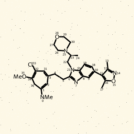 CNC1=CC(CCc2nc3cc(-c4c(C)noc4C)ccc3n2C[C@H](C)N2CCOCC2)=CC(Cl)=C(OC)C1